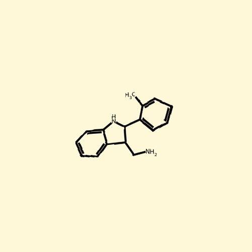 Cc1ccccc1C1Nc2ccccc2C1CN